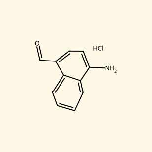 Cl.Nc1ccc(C=O)c2ccccc12